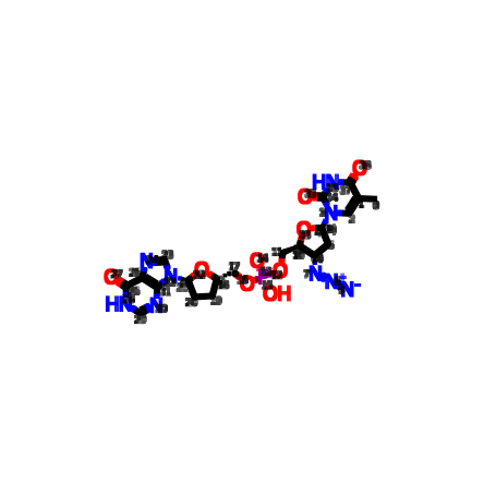 Cc1cn([C@H]2C[C@H](N=[N+]=[N-])[C@@H](COP(=O)(O)OC[C@@H]3CC[C@H](n4cnc5c(=O)[nH]cnc54)O3)O2)c(=O)[nH]c1=O